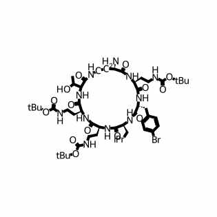 CC(C)C[C@@H]1NC(=O)[C@@H](Cc2ccc(Br)cc2)NC(=O)[C@H](CCNC(=O)OC(C)(C)C)NC(=O)[C@@H](N)CCNC(=O)C(C(C)O)NC(=O)[C@H](CCNC(=O)OC(C)(C)C)NC(=O)[C@H](CCNC(=O)OC(C)(C)C)NC1=O